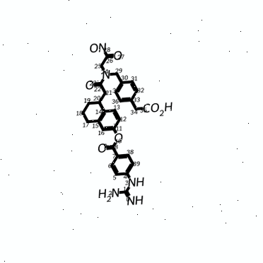 N=C(N)Nc1ccc(C(=O)Oc2ccc3c(c2)CCCC3CC(=O)N(CC(=O)N=O)Cc2ccc(CC(=O)O)cc2)cc1